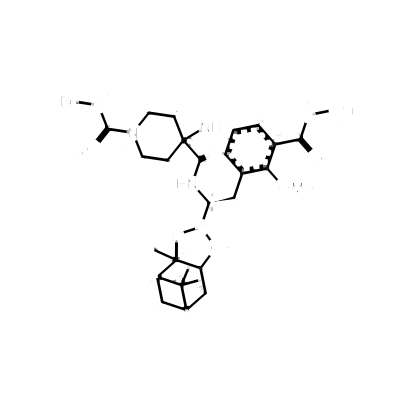 COc1c(C[C@H](NC(=O)C2(N)CCN(C(=O)OC(C)(C)C)CC2)B2OC3CC4CC(C4(C)C)C3(C)O2)cccc1C(=O)OC(C)(C)C